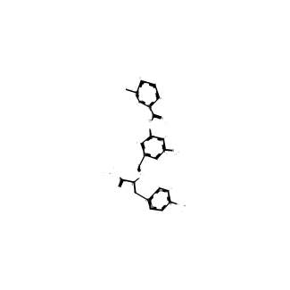 COC(=O)C(Cc1ccc(O)cc1)N=Cc1cc(Br)cc(OC(=O)c2cccc(C)c2)c1